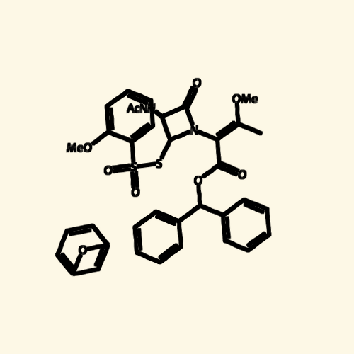 COC(C)=C(C(=O)OC(c1ccccc1)c1ccccc1)N1C(=O)C(NC(C)=O)C1SS(=O)(=O)c1ccccc1OC.c1cc2cc(c1)O2